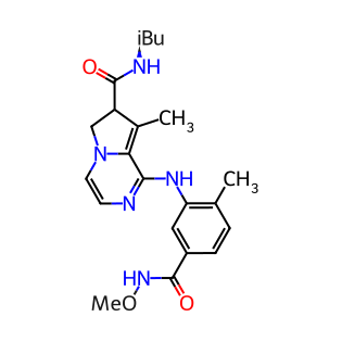 CC[C@H](C)NC(=O)C1CN2C=CN=C(Nc3cc(C(=O)NOC)ccc3C)C2=C1C